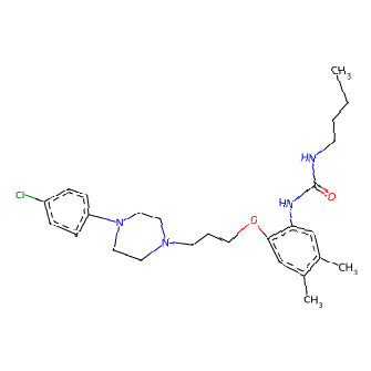 CCCCNC(=O)Nc1cc(C)c(C)cc1OCCCN1CCN(c2ccc(Cl)cc2)CC1